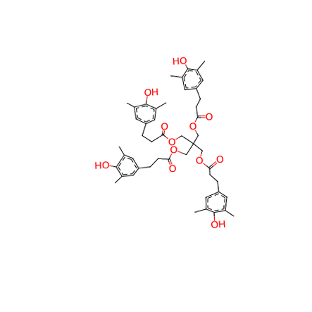 Cc1cc(CCC(=O)OCC(COC(=O)CCc2cc(C)c(O)c(C)c2)(COC(=O)CCc2cc(C)c(O)c(C)c2)COC(=O)CCc2cc(C)c(O)c(C)c2)cc(C)c1O